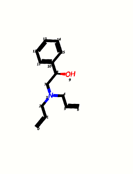 C=CCN(CC=C)C[C@H](O)c1ccccc1